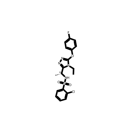 CCn1c(Oc2ccc(F)cc2)nnc1[C@@H](C)NS(=O)(=O)c1ccccc1Cl